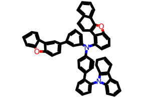 c1c(-c2ccccc2-n2c3c(c4ccccc42)C=CCC3)ccc(N(c2cccc(-c3ccc4oc5ccccc5c4c3)c2)c2cccc3oc4c5ccccc5ccc4c23)c#1